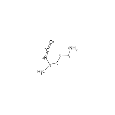 CC(CCCN)N=C=O